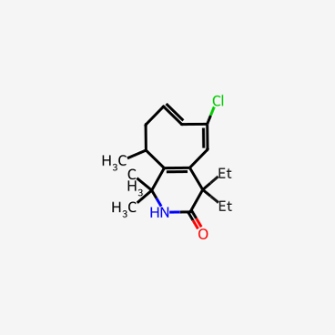 CCC1(CC)C(=O)NC(C)(C)C2=C1/C=C(Cl)\C=C\CC2C